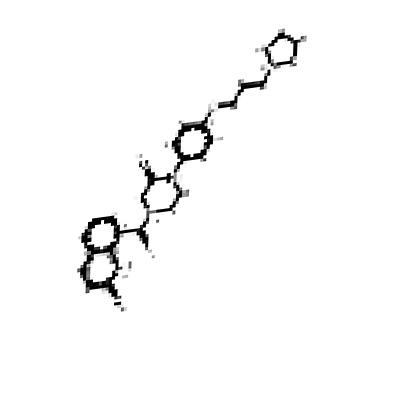 O=C(c1cccc2ccc(=O)[nH]c12)N1CCN(c2ccc(OCCCN3CCCC3)cc2)C(=O)C1